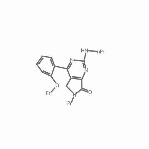 CCCNc1nc2c(c(-c3ccccc3OCC)n1)CN(C(C)C)C2=O